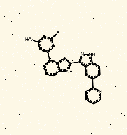 Oc1cc(F)cc(-c2cccc3[nH]c(-c4n[nH]c5ccc(-c6ccccn6)cc45)cc23)c1